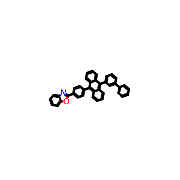 c1ccc(-c2cccc(-c3c4ccccc4c(-c4ccc(-c5nc6ccccc6o5)cc4)c4ccccc34)c2)cc1